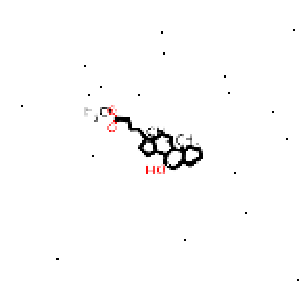 COC(=O)CCCC1CCC2C3C(O)CC4CCCCC4(C)C3CCC12C